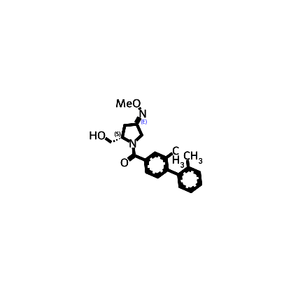 CO/N=C1\C[C@@H](CO)N(C(=O)c2ccc(-c3ccccc3C)c(C)c2)C1